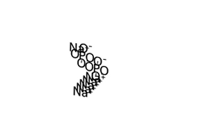 O=P([O-])([O-])[O-].O=P([O-])([O-])[O-].[Na+].[Na+].[Na+].[Na+].[Na+].[Na+]